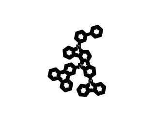 c1ccc(-c2cccc(-n3c4ccccc4c4c3ccc3c5ccc(-n6c7ccccc7c7ccccc76)cc5n(-c5ccc6c7ccccc7c7ccccc7c6c5)c34)c2)cc1